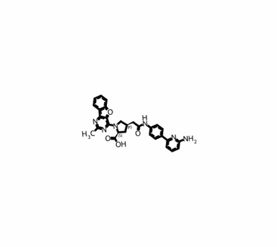 Cc1nc(N2C[C@@H](CC(=O)Nc3ccc(-c4cccc(N)n4)cc3)C[C@H]2C(=O)O)c2oc3ccccc3c2n1